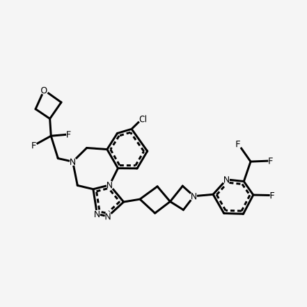 Fc1ccc(N2CC3(CC(c4nnc5n4-c4ccc(Cl)cc4CN(CC(F)(F)C4COC4)C5)C3)C2)nc1C(F)F